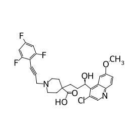 COc1ccc2ncc(Cl)c([C@H](O)CCC3(C(=O)O)CCN(CC#Cc4c(F)cc(F)cc4F)CC3)c2c1